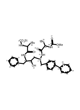 CCOC(=O)NC(C(=O)NC(Cc1ccccc1)C(O)CN(Cc1ccc(-c2ccccn2)cc1)NC(=O)C(NC(=O)OC)C(C)(C)C)C(C)(C)C